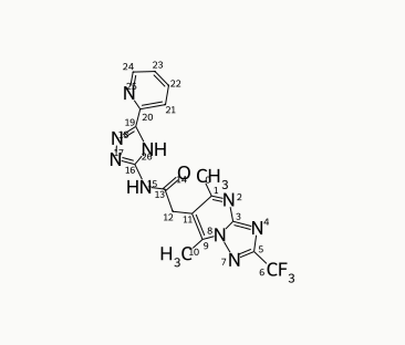 Cc1nc2nc(C(F)(F)F)nn2c(C)c1CC(=O)Nc1nnc(-c2ccccn2)[nH]1